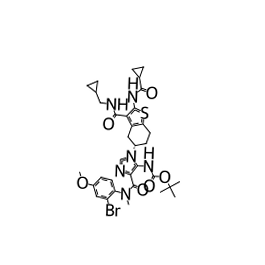 COc1ccc(N(C)C(=O)c2ncn([C@H]3CCc4sc(NC(=O)C5CC5)c(C(=O)NCC5CC5)c4C3)c2NC(=O)OC(C)(C)C)c(Br)c1